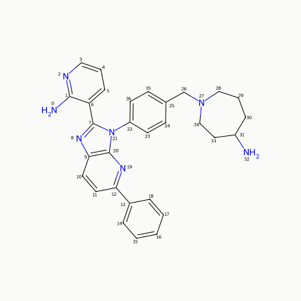 Nc1ncccc1-c1nc2ccc(-c3ccccc3)nc2n1-c1ccc(CN2CCCC(N)CC2)cc1